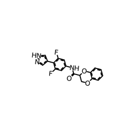 O=C(Nc1cc(F)c(-c2cn[nH]c2)c(F)c1)C1COc2ccccc2O1